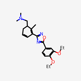 CCOc1ccc(-c2nc(C3=C(C)C(CN(C)C)CC=C3)no2)cc1OCC